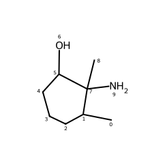 CC1CCCC(O)C1(C)N